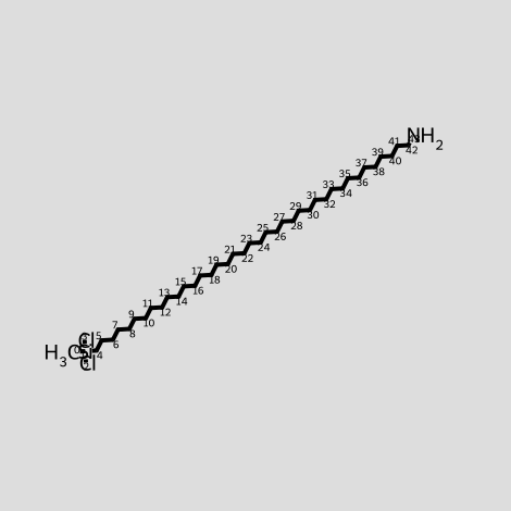 C[Si](Cl)(Cl)CCCCCCCCCCCCCCCCCCCCCCCCCCCCCCCCCCCCCCCN